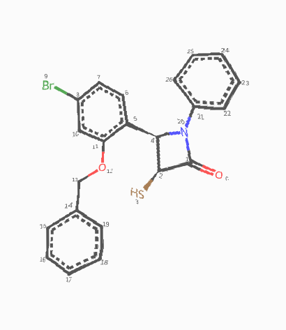 O=C1[C@@H](S)[C@@H](c2ccc(Br)cc2OCc2ccccc2)N1c1ccccc1